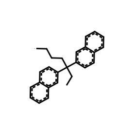 [CH2]CCCC(CC)(c1ccc2ccccc2c1)c1ccc2ccccc2c1